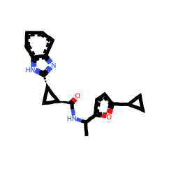 CC(NC(=O)[C@H]1C[C@@H]1c1nc2ccccc2[nH]1)c1ccc(C2CC2)o1